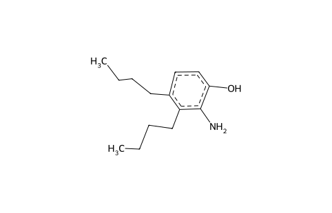 CCCCc1ccc(O)c(N)c1CCCC